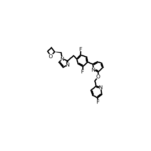 Fc1ccc(COc2cccc(-c3cc(F)c(Cc4nccn4C[C@@H]4CCO4)cc3F)n2)nc1